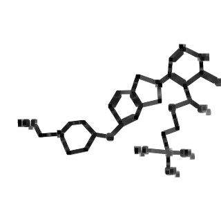 C[Si](C)(C)CCOC(c1c(N2Cc3ccc(OC4CCN(CC(=O)O)CC4)cc3C2)cn[nH]c1=O)C(F)(F)F